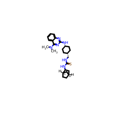 CN(C)c1nc(N[C@H]2CC[C@@H](CNC(=S)NC3C[C@@H]4CC[C@H]3C4)CC2)nc2ccccc12